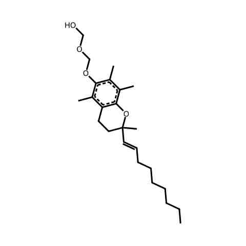 CCCCCCC/C=C/C1(C)CCc2c(C)c(OCOCO)c(C)c(C)c2O1